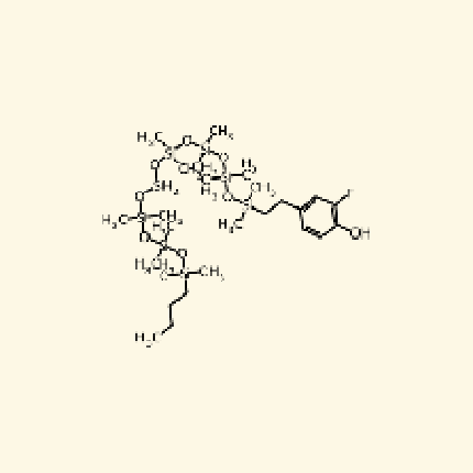 CCCC[Si](C)(C)O[Si](C)(C)O[Si](C)(C)O[SiH2]O[Si](C)(C)O[Si](C)(C)O[Si](C)(C)O[Si](C)(C)CCc1ccc(O)c(F)c1